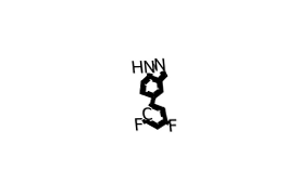 Fc1cc(F)cc(-c2ccc3[nH]ncc3c2)c1